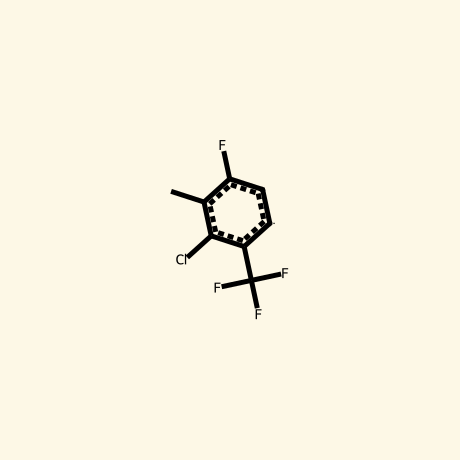 Cc1c(F)c[c]c(C(F)(F)F)c1Cl